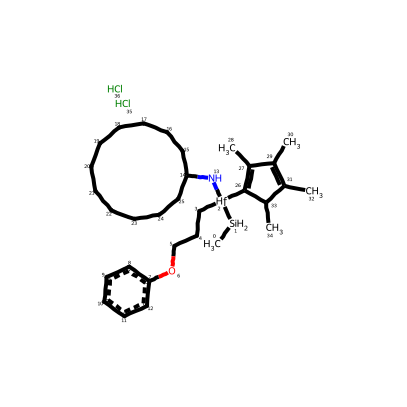 C[SiH2][Hf]([CH2]CCOc1ccccc1)([NH]C1CCCCCCCCCCC1)[C]1=C(C)C(C)=C(C)C1C.Cl.Cl